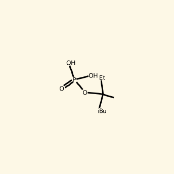 CCC(C)C(C)(CC)OP(=O)(O)O